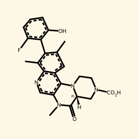 Cc1cc2c3c(cnc2c(C)c1-c1c(O)cccc1F)N(C)C(=O)[C@H]1CN(C(=O)O)CCN31